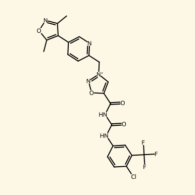 Cc1noc(C)c1-c1ccc(C[n+]2cc(C(=O)NC(=O)Nc3ccc(Cl)c(C(F)(F)F)c3)on2)nc1